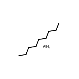 [AlH3].[CH2]CCCCCCCC